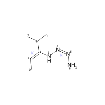 C/C=C(\N/N=N\N)C(C)C